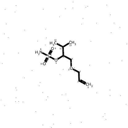 C=CCOCC(OS(N)(=O)=O)C(C)C